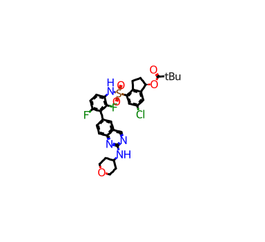 CC(C)(C)C(=O)O[C@@H]1CCc2c1cc(Cl)cc2S(=O)(=O)Nc1ccc(F)c(-c2ccc3nc(NC4CCOCC4)ncc3c2)c1F